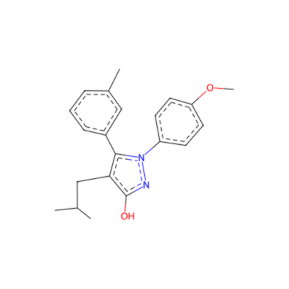 COc1ccc(-n2nc(O)c(CC(C)C)c2-c2cccc(C)c2)cc1